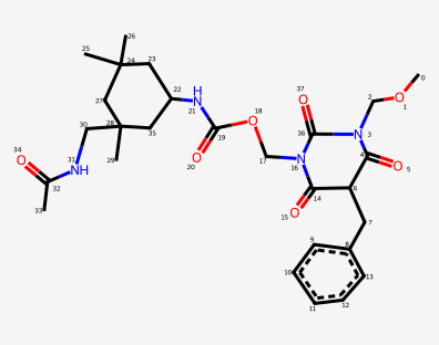 COCN1C(=O)C(Cc2ccccc2)C(=O)N(COC(=O)NC2CC(C)(C)CC(C)(CNC(C)=O)C2)C1=O